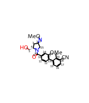 CO/N=C1\C[C@@H](CO)N(C(=O)c2ccc(-c3cccc(C#N)c3C)c(OC)c2)C1